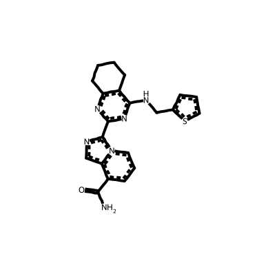 NC(=O)c1cccn2c(-c3nc4c(c(NCc5cccs5)n3)CCCC4)ncc12